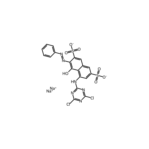 O=S(=O)([O-])c1cc(Nc2nc(Cl)nc(Cl)n2)c2c(O)c(N=Nc3ccccc3)c(S(=O)(=O)[O-])cc2c1.[Na+].[Na+]